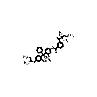 CCCC(C)(C)C(=O)c1cccc(C(=O)Oc2ccc(C(C)(c3ccccc3)c3ccc(OC(C)CC)cc3C)c(C)c2)c1